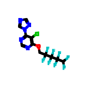 FC(F)C(F)(F)C(F)(F)C(F)(F)COc1ncnc(-n2cncn2)c1Cl